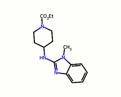 CCOC(=O)N1CCC(Nc2nc3ccccc3n2C)CC1